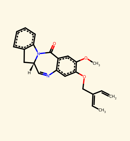 C=C/C(=C\C)COc1cc2c(cc1OC)C(=O)N1c3ccccc3C[C@H]1C=N2